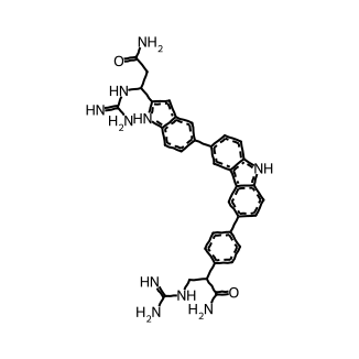 N=C(N)NCC(C(N)=O)c1ccc(-c2ccc3[nH]c4ccc(-c5ccc6[nH]c(C(CC(N)=O)NC(=N)N)cc6c5)cc4c3c2)cc1